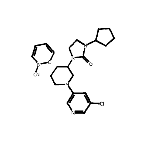 N#CN1C=CC=CO1.O=C1N(C2CCCC2)CCN1C1CCCN(c2cncc(Cl)c2)C1